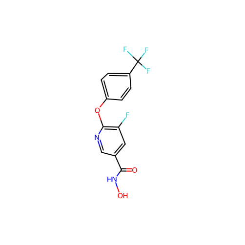 O=C(NO)c1cnc(Oc2ccc(C(F)(F)F)cc2)c(F)c1